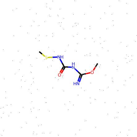 COC(=N)NC(=O)NSC